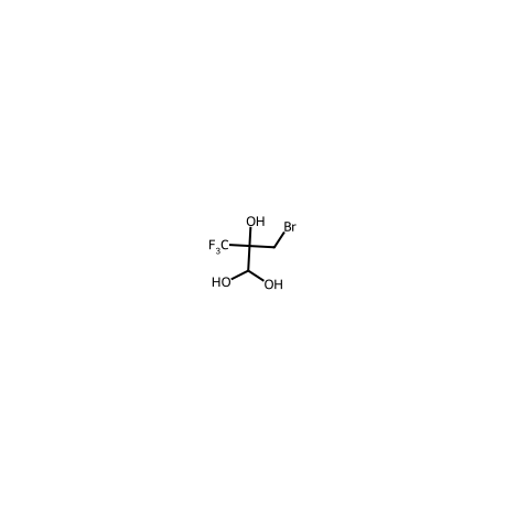 OC(O)C(O)(CBr)C(F)(F)F